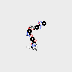 COc1cc2ncnc(Oc3ccc4c(C(=O)NC(C)C)c(C)oc4c3)c2cc1OCc1ccc(C(=O)Nc2ccccc2N)cc1